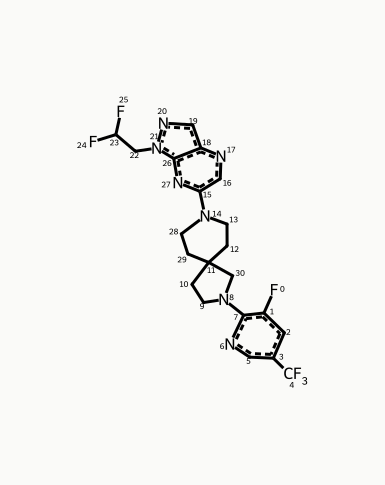 Fc1cc(C(F)(F)F)cnc1N1CCC2(CCN(c3cnc4cnn(CC(F)F)c4n3)CC2)C1